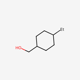 CCC1CCC(CO)CC1